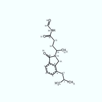 CC(C)Sc1cccc2c1CN(C(C)CCC(=O)NC=O)C2=O